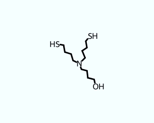 OCCCCN(CCCCS)CCCCS